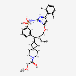 Cc1cccc(C)c1-c1cc2nc(n1)NS(=O)(=O)c1cccc(c1)C(C1CC3(CCN(C(=O)COC(C)(C)C)CC3)C1)[C@H](CC(C)C)CO2